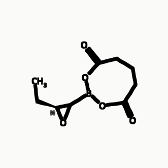 CC[C@@H]1OC1B1OC(=O)CCCC(=O)O1